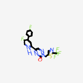 O=c1nc(C2C=C(c3ccc(F)cc3)C(F)CN2)cnn1Cc1cnc(C(F)(F)F)s1